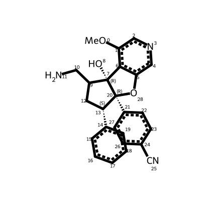 COc1cncc2c1[C@]1(O)C(CN)C[C@@H](c3ccccc3)[C@]1(c1ccc(C#N)cc1)O2